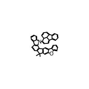 CC1(C)c2cc3oc4ccccc4c3cc2-c2c1ccc1c3ccccc3n(C3=CC=C4c5ccccc5C5=CC=CC3C54)c21